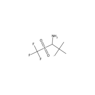 [CH2]C(C)(C)C(N)S(=O)(=O)C(F)(F)F